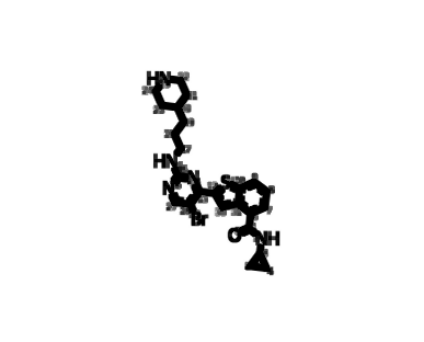 O=C(NC1CC1)c1cccc2sc(-c3nc(NCCCC4CCNCC4)ncc3Br)cc12